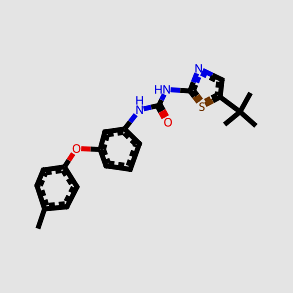 Cc1ccc(Oc2cccc(NC(=O)Nc3ncc(C(C)(C)C)s3)c2)cc1